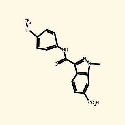 Cn1nc(C(=O)Nc2ccc(OC(F)(F)F)cc2)c2ccc(C(=O)O)cc21